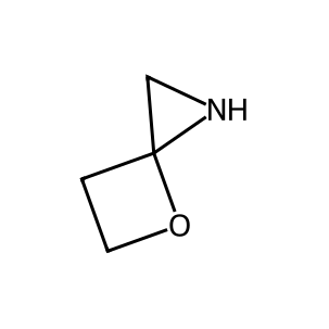 C1CC2(CN2)O1